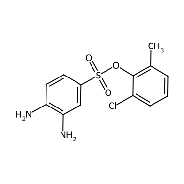 Cc1cccc(Cl)c1OS(=O)(=O)c1ccc(N)c(N)c1